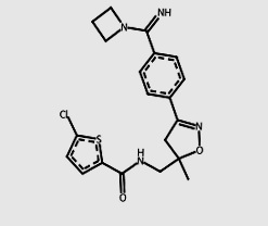 CC1(CNC(=O)c2ccc(Cl)s2)CC(c2ccc(C(=N)N3CCC3)cc2)=NO1